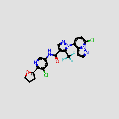 O=C(Nc1cnc([C@H]2CCCO2)c(Cl)c1)c1cnn(-c2ccc(Cl)n3nccc23)c1C(F)(F)F